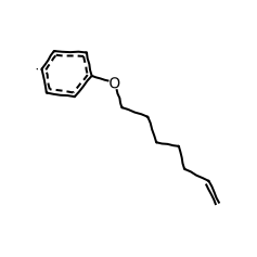 C=CCCCCCOc1cc[c]cc1